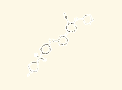 CN1CCN(S(=O)(=O)c2ccc(Nc3nccc(-c4ccc(OC5CCOCC5)c(C#N)c4)n3)cc2)CC1